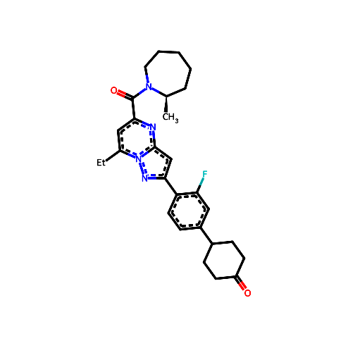 CCc1cc(C(=O)N2CCCCC[C@H]2C)nc2cc(-c3ccc(C4CCC(=O)CC4)cc3F)nn12